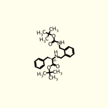 CC(C)(C)OC(=O)NCc1ccccc1CN[C@H](Cc1ccccc1)C(=O)OC(C)(C)C